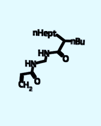 C=CC(=O)NCNC(=O)C(CCCC)CCCCCCC